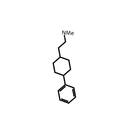 CNCCC1CCC(c2ccccc2)CC1